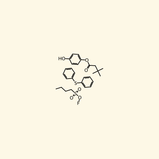 CC(C)(C)CC(=O)Oc1ccc(O)cc1.CCCCS(=O)(=O)OF.c1ccc(Sc2ccccc2)cc1